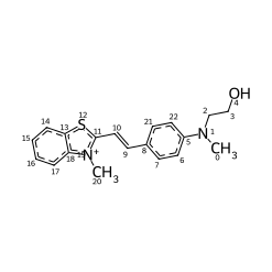 CN(CCO)c1ccc(/C=C/c2sc3ccccc3[n+]2C)cc1